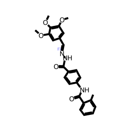 COc1cc(/C=N/NC(=O)c2ccc(NC(=O)c3ccccc3C)cc2)cc(OC)c1OC